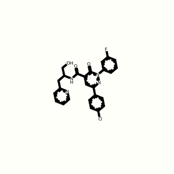 O=C(NC(CO)Cc1ccccn1)c1cc(-c2ccc(Cl)cc2)nn(-c2cccc(F)c2)c1=O